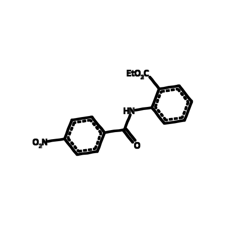 CCOC(=O)c1ccccc1NC(=O)c1ccc([N+](=O)[O-])cc1